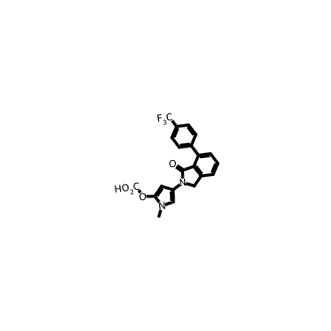 Cn1cc(N2Cc3cccc(-c4ccc(C(F)(F)F)cc4)c3C2=O)cc1OC(=O)O